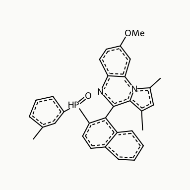 COc1ccc2nc(-c3c([PH](=O)c4cccc(C)c4)ccc4ccccc34)c3c(C)cc(C)n3c2c1